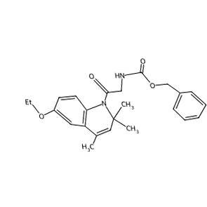 CCOc1ccc2c(c1)C(C)=CC(C)(C)N2C(=O)CNC(=O)OCc1ccccc1